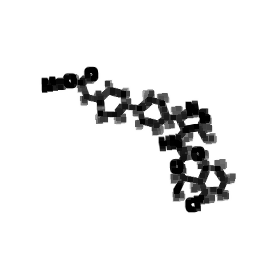 COC(=O)Cc1ccc(-c2ccc(-c3nsc(C)c3NC(=O)O[C@H](C)c3ccccc3Cl)cc2)cc1